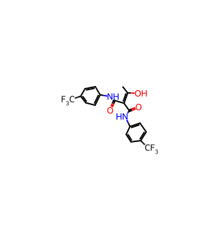 CC(O)=C(C(=O)Nc1ccc(C(F)(F)F)cc1)C(=O)Nc1ccc(C(F)(F)F)cc1